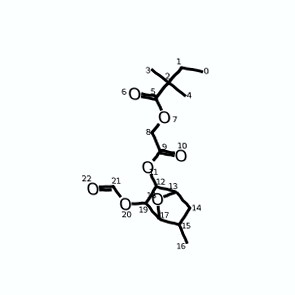 CCC(C)(C)C(=O)OCC(=O)OC1C2CC(C)C(O2)C1OC=O